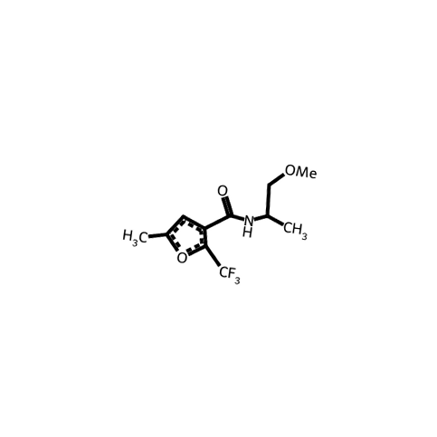 COCC(C)NC(=O)c1cc(C)oc1C(F)(F)F